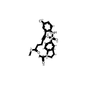 COC(=O)CCC#Cc1cc(Cl)ccc1NS(=O)(=O)c1ccc2c(c1)CCN2C(C)=O